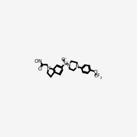 O=NC(=O)CN1CCc2ccc([S+]([O-])N3CCN(c4ccc(OC(F)(F)F)cc4)CC3)cc21